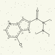 CN(C)N(C)C(=O)c1cc2nccc(Cl)c2s1